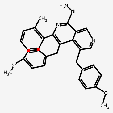 COc1ccc(Cc2cncc3c(NN)nc(-c4cnccc4C)c(Cc4ccc(OC)cc4)c23)cc1